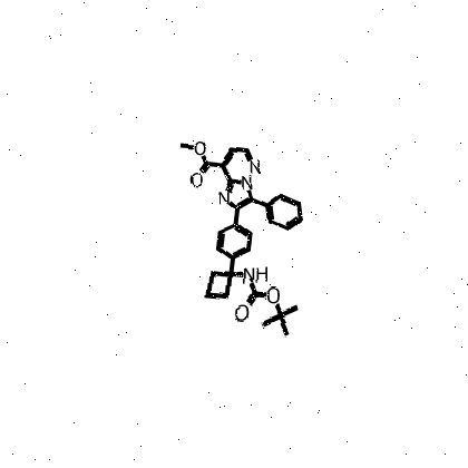 COC(=O)c1ccnn2c(-c3ccccc3)c(-c3ccc(C4(NC(=O)OC(C)(C)C)CCC4)cc3)nc12